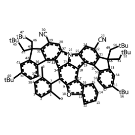 Cc1cccc(C)c1-c1c2oc3ccccc3c2c2c3c4c(c(C#N)cc3n3c5cc(C#N)c6c(c5c1c23)-c1ccc(C(C)(C)C)cc1C6(CC(C)(C)C)CC(C)(C)C)C(CC(C)(C)C)(CC(C)(C)C)c1cc(C(C)(C)C)ccc1-4